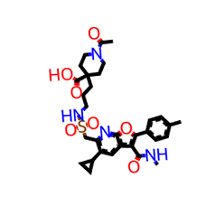 CNC(=O)c1c(-c2ccc(C)cc2)oc2nc(CS(=O)(=O)NCCCC3(C(=O)O)CCN(C(C)=O)CC3)c(C3CC3)cc12